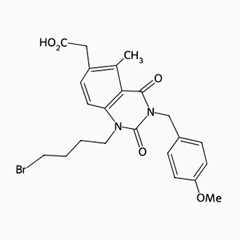 COc1ccc(Cn2c(=O)c3c(C)c(CC(=O)O)ccc3n(CCCCBr)c2=O)cc1